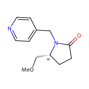 COC[C@H]1CCC(=O)N1Cc1ccncc1